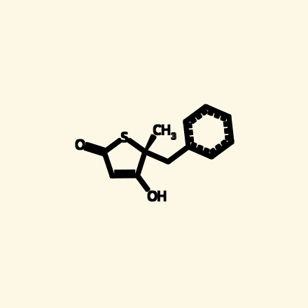 C[C@]1(Cc2ccccc2)SC(=O)C=C1O